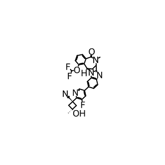 CN1C(=O)c2cccc(OC(F)F)c2[C@@H]2CC1c1nc3ccc(-c4cnc([C@]5(C#N)C[C@@](C)(O)C5)c(F)c4)cc3n12